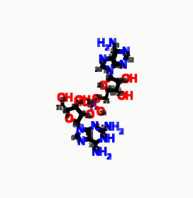 NC1=Nc2c(ncn2[C@@H]2O[C@H](CO)[C@@H](O)[C@H]2OP(=O)(O)OC[C@H]2O[C@@H](n3cnc4c(N)ncnc43)[C@H](O)[C@@H]2O)C(N)N1